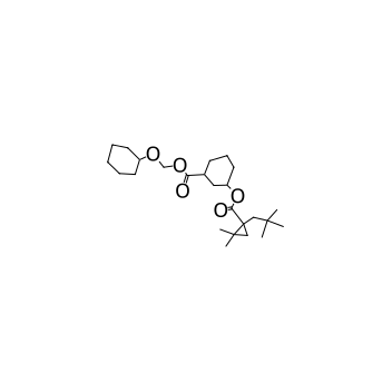 CC(C)(C)CC1(C(=O)OC2CCCC(C(=O)OCOC3CCCCC3)C2)CC1(C)C